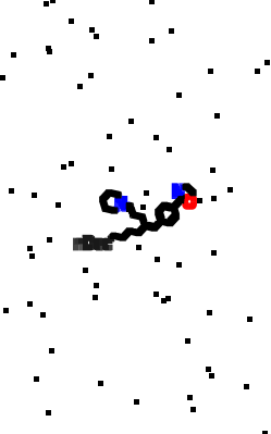 CCCCCCCCCCCCCCC(=Cc1ccc(C2=NCCO2)cc1)CCCN1CCCCC1